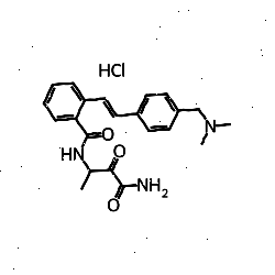 CC(NC(=O)c1ccccc1C=Cc1ccc(CN(C)C)cc1)C(=O)C(N)=O.Cl